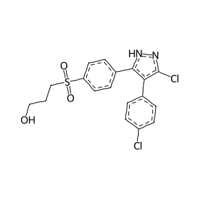 O=S(=O)(CCCO)c1ccc(-c2[nH]nc(Cl)c2-c2ccc(Cl)cc2)cc1